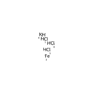 Cl.Cl.Cl.[Fe].[KH]